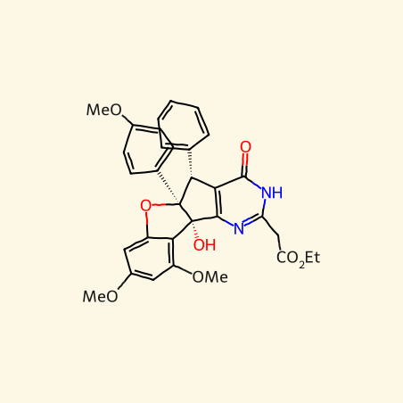 CCOC(=O)Cc1nc2c(c(=O)[nH]1)[C@@H](c1ccccc1)[C@]1(c3ccc(OC)cc3)Oc3cc(OC)cc(OC)c3[C@]21O